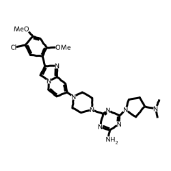 COc1cc(OC)c(-c2cn3ccc(N4CCN(c5nc(N)nc(N6CCC(N(C)C)C6)n5)CC4)cc3n2)cc1Cl